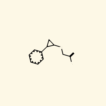 NC(=O)CNC1CC1c1ccccc1